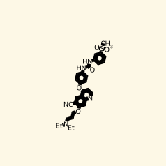 CCN(CC)CCCOc1cc2nccc(Oc3ccc(NC(=O)Nc4cccc(S(C)(=O)=O)c4)cc3)c2cc1C#N